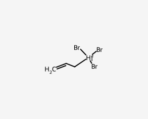 C=C[CH2][Hf]([Br])([Br])[Br]